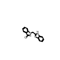 Clc1nn(Cc2nc3ccccc3[nH]2)c2ccccc12